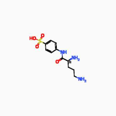 NCCC[C@H](N)C(=O)Nc1ccc(S(=O)(=O)O)cc1